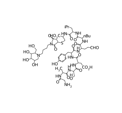 CCCCC(NC(=O)C(CCC=O)NC(=O)C(Cc1ccc(O)cc1)NC(=O)C(CC(=O)O)NC(=O)C(CO)NC(=O)C(C)NC(=O)CN)C(=O)NC(CC(C)C)C(=O)NC(CSC1CC(=O)N(CCCCN2CC(O)C(O)C(O)C2CO)C1=O)C(=O)O